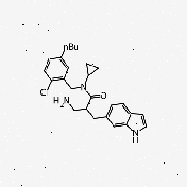 CCCCc1ccc(Cl)c(CN(C(=O)C(CN)Cc2ccc3cc[nH]c3c2)C2CC2)c1